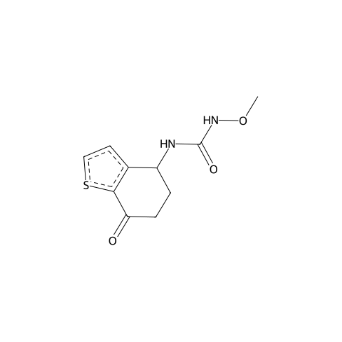 CONC(=O)NC1CCC(=O)c2sccc21